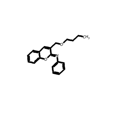 CCCCOCc1cc2ccccc2oc1=Nc1ccccc1